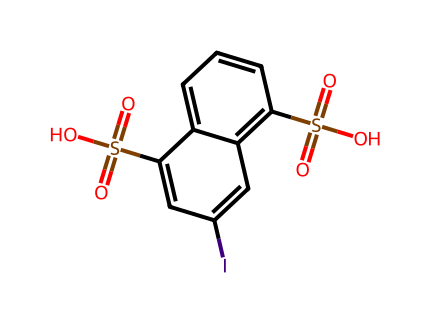 O=S(=O)(O)c1cc(I)cc2c(S(=O)(=O)O)cccc12